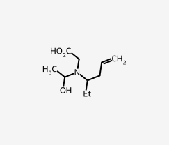 C=CCC(CC)N(CC(=O)O)C(C)O